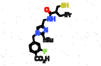 CCCCc1nc(CNC(=O)C(CS)CC(C)C)cn1Cc1ccc(C(=O)O)c(F)c1